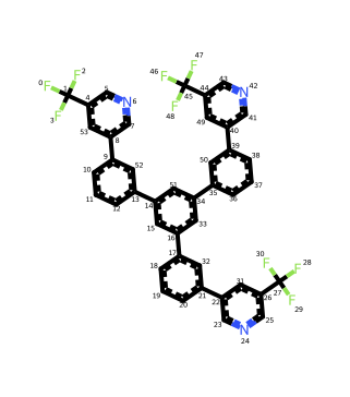 FC(F)(F)c1cncc(-c2cccc(-c3cc(-c4cccc(-c5cncc(C(F)(F)F)c5)c4)cc(-c4cccc(-c5cncc(C(F)(F)F)c5)c4)c3)c2)c1